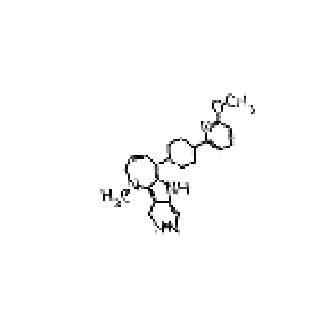 COc1cccc(C2CCC(C3=c4[nH]c5c(c4N(C)CC=C3)CN=NC=5)CC2)n1